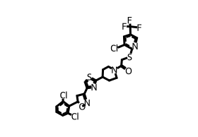 O=C(CSc1ncc(C(F)(F)F)cc1Cl)N1CCC(c2nc(C3=NOC(c4c(Cl)cccc4Cl)C3)cs2)CC1